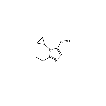 CC(C)c1ncc(C=O)n1C1CC1